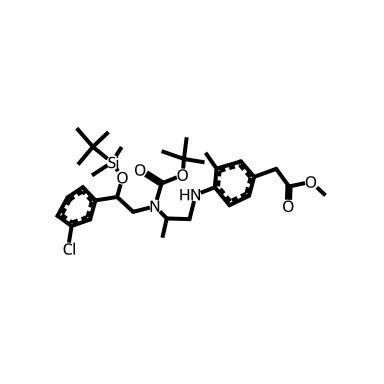 COC(=O)Cc1ccc(NCC(C)N(CC(O[Si](C)(C)C(C)(C)C)c2cccc(Cl)c2)C(=O)OC(C)(C)C)c(C)c1